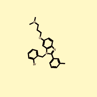 Cc1cccc(-c2nc3ccc(OCCCN(C)C)cc3n2Cc2ccccc2Br)c1